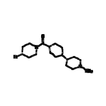 CCC1CCN(C(=O)C2CCC(C3CCN(SC)CC3)CC2)CC1